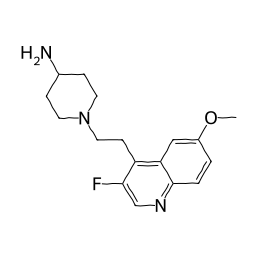 COc1ccc2ncc(F)c(CCN3CCC(N)CC3)c2c1